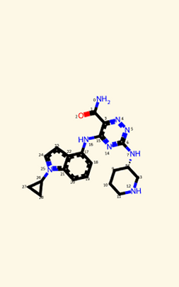 NC(=O)c1nnc(N[C@H]2CCCNC2)nc1Nc1cccc2c1ccn2C1CC1